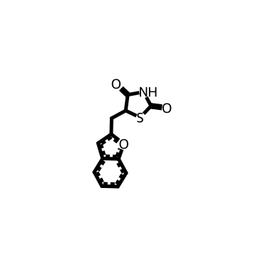 O=C1NC(=O)C(Cc2cc3ccccc3o2)S1